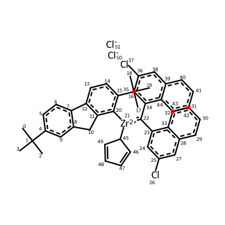 CC(C)(C)c1ccc2c(c1)Cc1c-2ccc(C(C)(C)C)[c]1[Zr+2](=[C](c1cc(Cl)cc2ccccc12)c1cc(Cl)cc2ccccc12)[CH]1C=CC=C1.[Cl-].[Cl-]